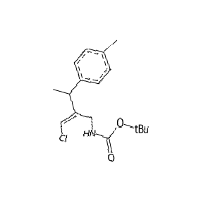 Cc1ccc(C(C)C(=CCl)CNC(=O)OC(C)(C)C)cc1